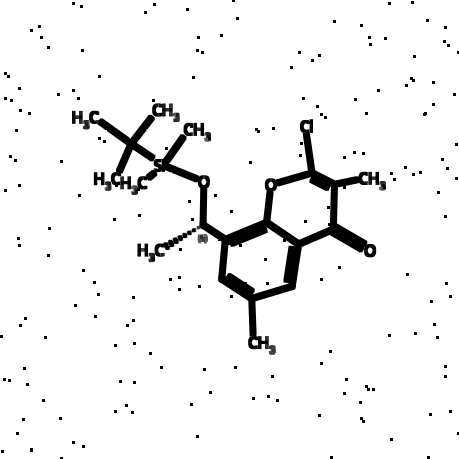 Cc1cc([C@H](C)O[Si](C)(C)C(C)(C)C)c2oc(Cl)c(C)c(=O)c2c1